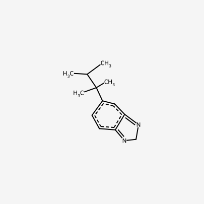 CC(C)C(C)(C)c1ccc2c(c1)=NCN=2